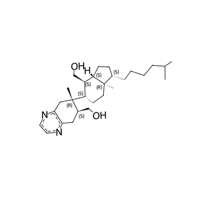 CC(C)CCCC[C@H]1CC[C@H]2[C@H](CO)[C@@H]([C@@]3(C)Cc4nccnc4C[C@@H]3CO)CC[C@]12C